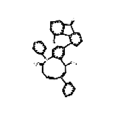 C=C1C/C=C\C(c2ccccc2)=C/C(C)c2cc(-c3cccc4c3-c3c(Br)cccc3C4=O)ccc2N1c1ccccc1